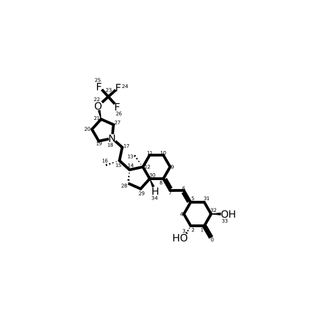 C=C1[C@H](O)CC(=C/C=C2\CCC[C@]3(C)[C@@H]([C@H](C)CN4CC[C@@H](OC(F)(F)F)C4)CC[C@@H]23)C[C@H]1O